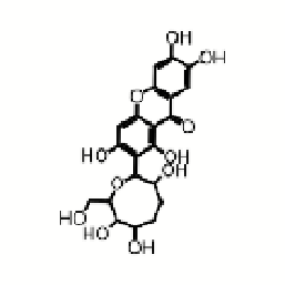 O=c1c2cc(O)c(O)cc2oc2cc(O)c(C3OC(CO)C(O)C(O)CCC3O)c(O)c12